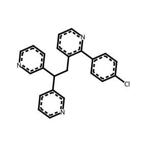 Clc1ccc(-c2ncccc2CC(c2cccnc2)c2cccnc2)cc1